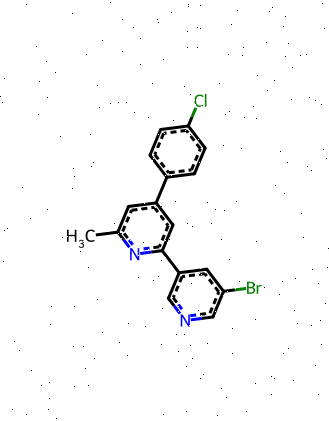 Cc1cc(-c2ccc(Cl)cc2)cc(-c2cncc(Br)c2)n1